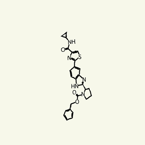 O=C(NC1CC1)c1csc(-c2ccc3[nH]c(C4CCCN4C(=O)OCc4ccccc4)nc3c2)n1